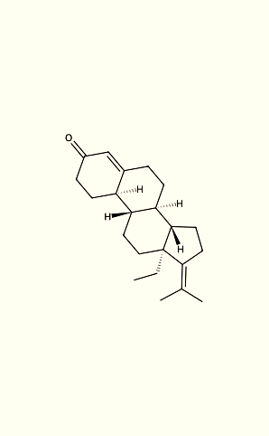 CC[C@]12CC[C@H]3[C@@H](CCC4=CC(=O)CC[C@@H]43)[C@@H]1CCC2=C(C)C